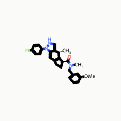 COc1cccc(CN(C)C(=O)[C@H]2CCC3=C2[C@@H](C)C2=CNN(c4ccc(F)cc4)C2=C3)c1